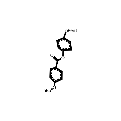 CCCCCc1ccc(OC(=O)c2ccc(OCCCC)cc2)cc1